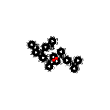 c1ccc(N(c2ccc(-c3ccccc3N(c3ccccc3)c3ccc4c5ccc6c7ccccc7sc6c5n(-c5ccc6c(c5)oc5ccccc56)c4c3)cc2)c2ccc(-n3c4ccccc4c4ccccc43)cc2)cc1